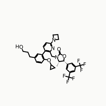 C[C@H]1[C@@H](c2cc(C(F)(F)F)cc(C(F)(F)F)c2)OC(=O)N1Cc1nc(N2CCC2)ccc1-c1cc(CCCO)ccc1OC1CC1